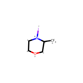 FC(F)(F)C1COCCN1I